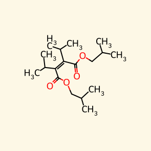 CC(C)COC(=O)C(=C(C(=O)OCC(C)C)C(C)C)C(C)C